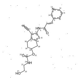 N#Cc1c(NC(=O)C=Cc2cccnc2)sc2c1CCC(OC(=O)NCCO)C2